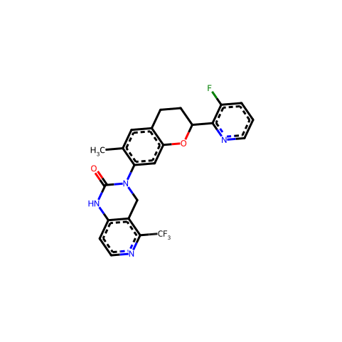 Cc1cc2c(cc1N1Cc3c(ccnc3C(F)(F)F)NC1=O)OC(c1ncccc1F)CC2